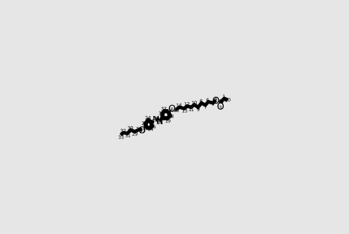 C=CC(=O)OCCCCCCCCCCCOc1ccc(N=Nc2ccc(OCCCCCC)cc2)cc1